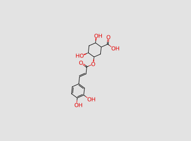 O=C(/C=C/c1ccc(O)c(O)c1)O[C@@H]1CC(C(=O)O)[C@H](O)C[C@@H]1O